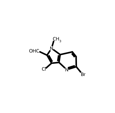 Cn1c(C=O)c(Cl)c2nc(Br)ccc21